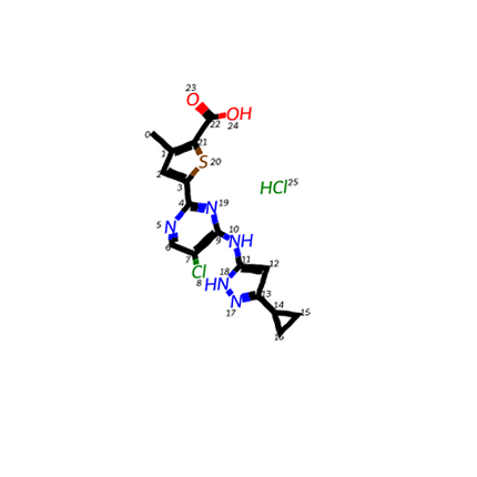 Cc1cc(-c2ncc(Cl)c(Nc3cc(C4CC4)n[nH]3)n2)sc1C(=O)O.Cl